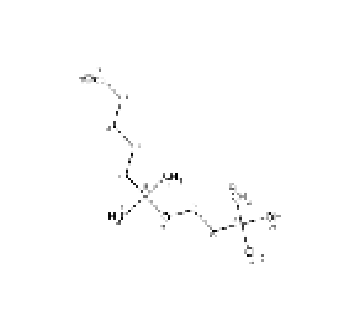 CCCCCCCCCCCCC(C)(C)OCCC(C)(C)O